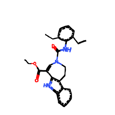 CCOC(=O)C1=CN(C(=O)Nc2c(CC)cccc2CC)CCc2c1[nH]c1ccccc21